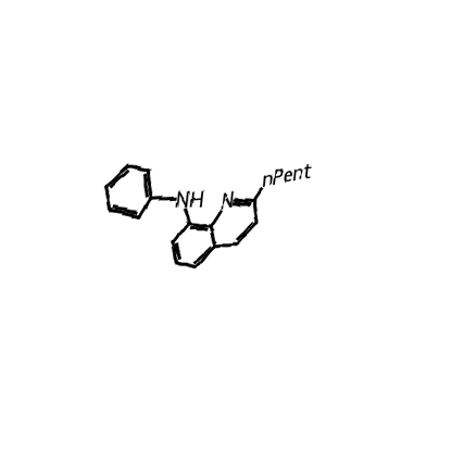 CCCCCc1ccc2cccc(Nc3ccccc3)c2n1